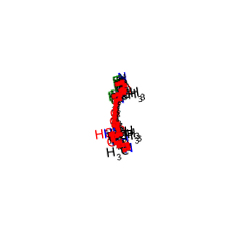 Cc1ncsc1-c1ccc(CNC(=O)[C@@H]2C[C@@H](O)CN2C(=O)[C@@H](NC(=O)c2ccc(OCCCOCCCCCOc3ncc(N4C(=S)N(c5ccc(C#N)c(C(F)(F)F)c5F)C(=O)C4(C)C)cc3C(F)(F)F)cc2)C(C)(C)C)cc1